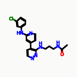 CC(=O)NCCCNc1nnccc1-c1ccnc(Nc2cccc(Cl)c2)c1